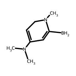 BC1=CC(N(C)C)=CCN1C